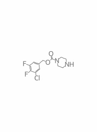 O=C(OCc1cc(F)c(F)c(Cl)c1)N1CCNCC1